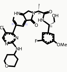 C/C=C(\C=C1/C(=N)CN([C@H](C)C(=O)N[C@H](CO)c2cc(F)cc(OC)c2)C1=O)c1nc(NC2CCOCC2)ncc1Cl